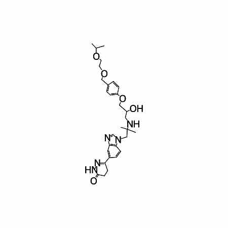 CC(C)OCCOCc1ccc(OCC(O)CNC(C)(C)Cn2cnc3cc(C4=NNC(=O)CC4)ccc32)cc1